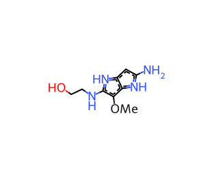 COc1c(NCCO)[nH]c2cc(N)[nH]c12